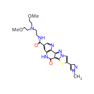 COCCN(CCNC(=O)c1cnc2c(c1)[nH]c(=O)c1c2nn2cc(-c3cnn(C)c3)sc12)CCOC